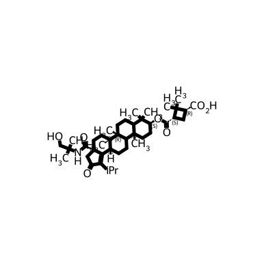 CC(C)C1=C2[C@H]3CCC4[C@@]5(C)CC[C@H](OC(=O)[C@H]6C[C@@H](C(=O)O)C6(C)C)C(C)(C)C5CC[C@@]4(C)[C@]3(C)CC[C@@]2(C(=O)NC(C)(C)CO)CC1=O